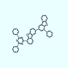 c1ccc(-c2nc(-c3ccccc3)nc(-c3cccc4c3oc3ccc(-c5cc(-c6ccccc6)c6sc7ccccc7c6c5)cc34)n2)cc1